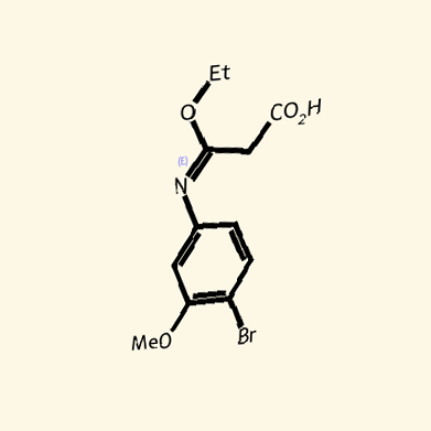 CCO/C(CC(=O)O)=N/c1ccc(Br)c(OC)c1